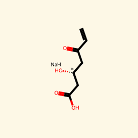 C=CC(=O)C[C@@H](O)CC(=O)O.[NaH]